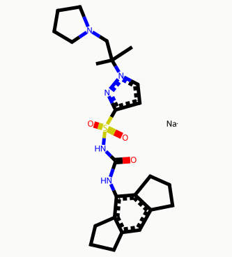 CC(C)(CN1CCCC1)n1ccc(S(=O)(=O)NC(=O)Nc2c3c(cc4c2CCC4)CCC3)n1.[Na]